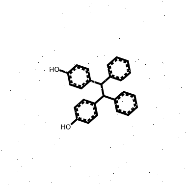 Oc1ccc(C(c2ccccc2)C(c2ccccc2)c2ccc(O)cc2)cc1